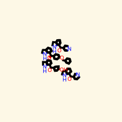 O=C(c1ccc(O)cc1)c1cccc2c1NCC2.O=C(c1ccc(OCc2ccccc2)cc1)c1cccc2c1NCC2.O=C(c1cccnc1)c1cccc2c1NCC2.O=C(c1ccncc1)c1cccc2c1NCC2